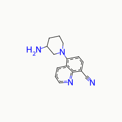 N#Cc1ccc(N2CCCC(N)C2)c2cccnc12